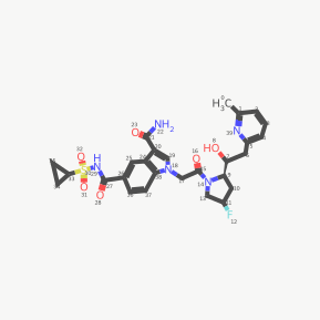 Cc1cccc(CC(O)[C@H]2CC(F)CN2C(=O)Cn2cc(C(N)=O)c3cc(C(=O)NS(=O)(=O)C4CC4)ccc32)n1